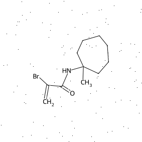 C=C(Br)C(=O)NC1(C)CCCCCC1